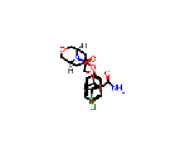 NC(=O)c1cc(Cl)ccc1OCC(=O)N1[C@H]2COC[C@H]1CC(Oc1ccc(F)cc1)C2